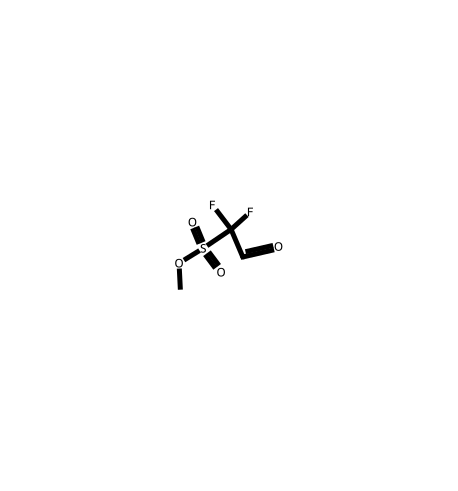 COS(=O)(=O)C(F)(F)C=O